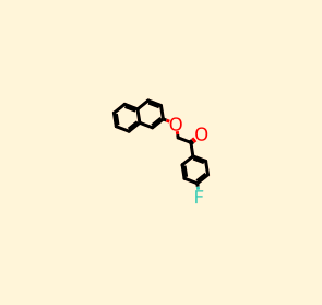 O=C(COc1ccc2ccccc2c1)c1ccc(F)cc1